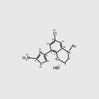 Br.CC(=O)N1CCOc2c(-c3csc(N)n3)cc(Cl)cc21